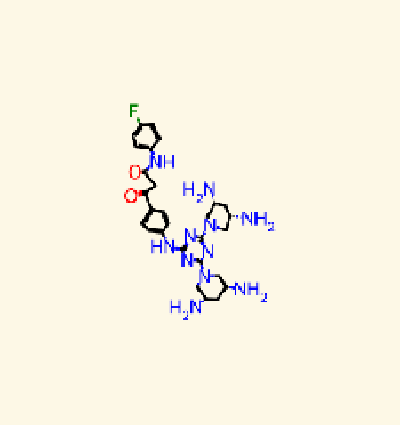 N[C@@H]1C[C@H](N)CN(c2nc(Nc3ccc(C(=O)CC(=O)Nc4ccc(F)cc4)cc3)nc(N3C[C@H](N)C[C@H](N)C3)n2)C1